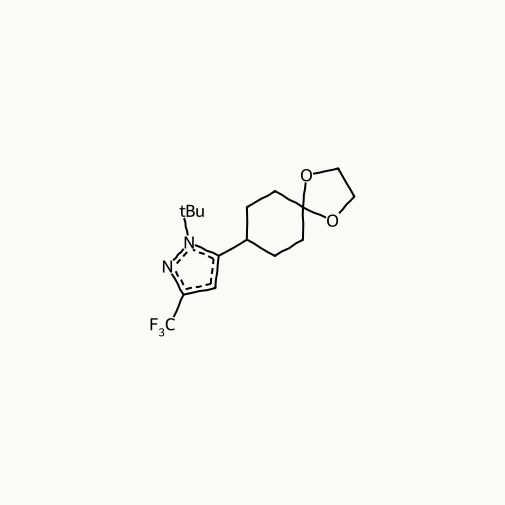 CC(C)(C)n1nc(C(F)(F)F)cc1C1CCC2(CC1)OCCO2